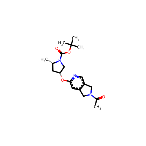 CC(=O)N1Cc2cnc(O[C@@H]3C[C@H](C)N(C(=O)OC(C)(C)C)C3)cc2C1